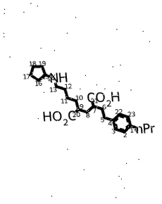 CCCc1ccc(CCC(CC(CCCCNC2CCCC2)C(=O)O)C(=O)O)cc1